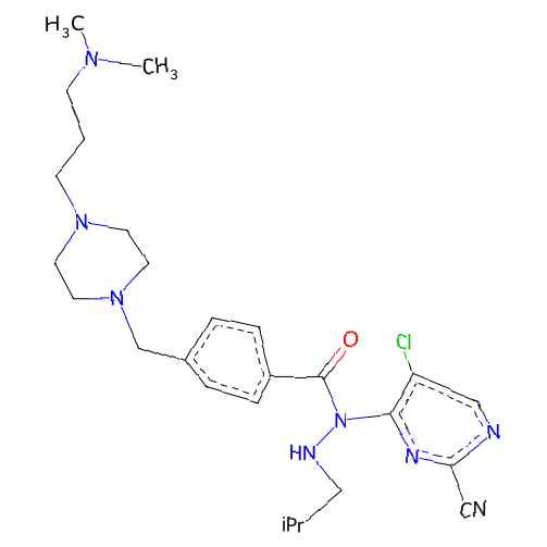 CC(C)CNN(C(=O)c1ccc(CN2CCN(CCCN(C)C)CC2)cc1)c1nc(C#N)ncc1Cl